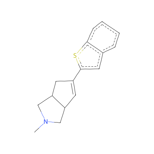 CN1CC2C=C(c3cc4ccccc4s3)CC2C1